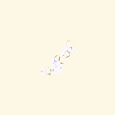 [2H]c1nc(N[C@H]2CCN(C)C[C@H]2F)nn2ccc(-c3ccc4nc(C)n(CC(F)F)c4n3)c12